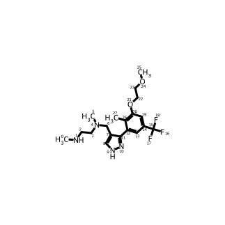 CNCCN(C)Cc1c[nH]nc1-c1cc(C(F)(F)F)cc(OCCOC)c1C